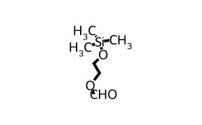 C[Si](C)(C)OCCOC=O